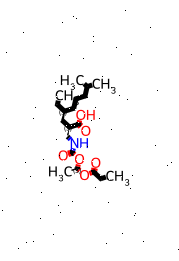 CCC(=O)O[C@H](C)OC(=O)NC[C@H](C[C@@H](CC)CCCC(C)C)C(=O)O